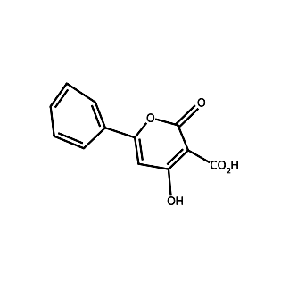 O=C(O)c1c(O)cc(-c2ccccc2)oc1=O